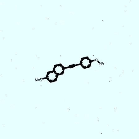 CCCOc1ccc(C#Cc2ccc3cc(OC)ccc3c2)cc1